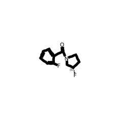 O=C(c1ccccc1F)N1CC[C@H](F)C1